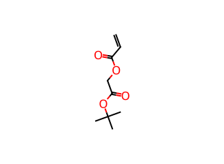 C=CC(=O)OCC(=O)OC(C)(C)C